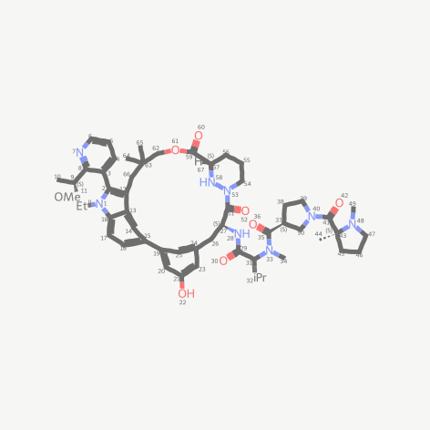 CCn1c(-c2cccnc2[C@H](C)OC)c2c3cc(ccc31)-c1cc(O)cc(c1)C[C@H](NC(=O)C(C(C)C)N(C)C(=O)[C@H]1CCN(C(=O)[C@]3(C)CCCN3C)C1)C(=O)N1CCC[C@H](N1)C(=O)OCC(C)(C)C2